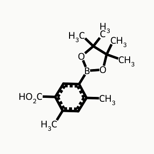 Cc1cc(C)c(C(=O)O)cc1B1OC(C)(C)C(C)(C)O1